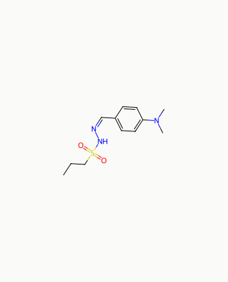 CCCS(=O)(=O)N/N=C\c1ccc(N(C)C)cc1